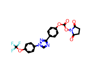 O=C(Oc1ccc(-c2ncn(-c3ccc(OC(F)(F)F)cc3)n2)cc1)ON1C(=O)CCC1=O